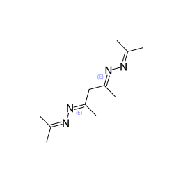 CC(C)=N/N=C(\C)C/C(C)=N/N=C(C)C